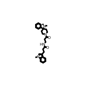 CN(C)C1(c2ccccc2)CCN(C(=O)CCNC(=O)CCc2cn(C)c3ccccc23)CC1